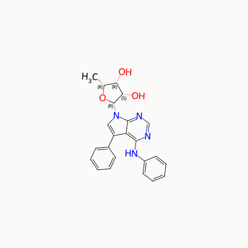 C[C@H]1O[C@@H](n2cc(-c3ccccc3)c3c(Nc4ccccc4)ncnc32)[C@@H](O)[C@H]1O